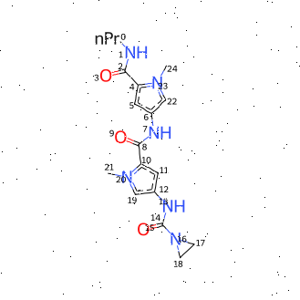 [CH2]CCNC(=O)c1cc(NC(=O)c2cc(NC(=O)N3CC3)cn2C)cn1C